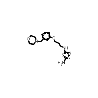 Nc1nnc(NCCCOc2cccc(CN3CCOCC3)c2)s1